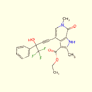 CCOC(=O)c1c(C)[nH]c2c(=O)n(C)cc(C#CC(O)(c3ccccc3)C(F)(F)F)c12